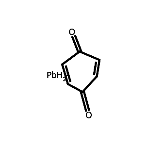 O=C1C=CC(=O)C=C1.[PbH2]